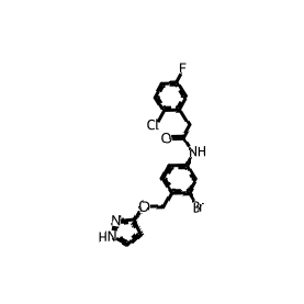 O=C(Cc1cc(F)ccc1Cl)Nc1ccc(COc2cc[nH]n2)c(Br)c1